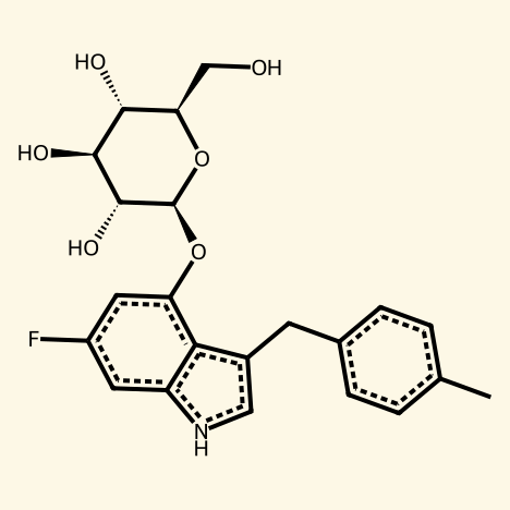 Cc1ccc(Cc2c[nH]c3cc(F)cc(O[C@@H]4O[C@H](CO)[C@@H](O)[C@H](O)[C@H]4O)c23)cc1